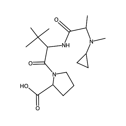 CC(C(=O)NC(C(=O)N1CCCC1C(=O)O)C(C)(C)C)N(C)C1CC1